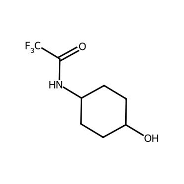 O=C(NC1CCC(O)CC1)C(F)(F)F